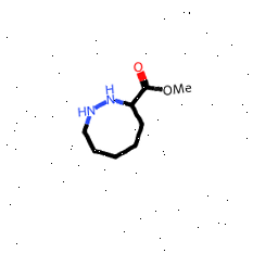 COC(=O)C1CCCCCNN1